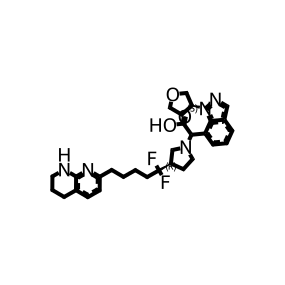 O=C(O)C(c1cccc2cnn([C@H]3CCOC3)c12)N1CC[C@@H](C(F)(F)CCCCc2ccc3c(n2)NCCC3)C1